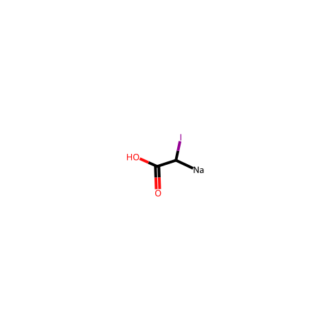 O=C(O)[CH]([Na])I